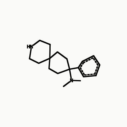 CN(C)C1(c2ccccc2)CCC2(CCNCC2)CC1